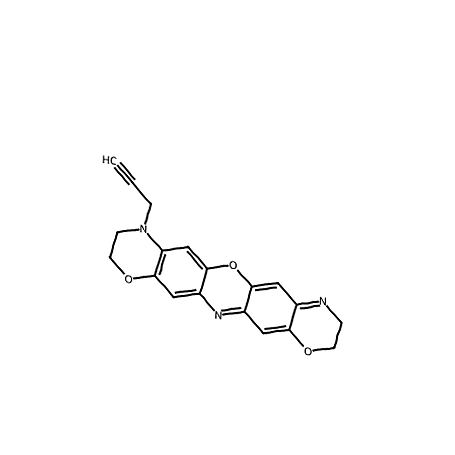 C#CCN1CCOc2cc3c(cc21)Oc1cc2c(cc1=N3)OCCN=2